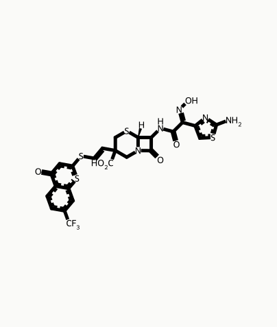 Nc1nc(C(=NO)C(=O)NC2C(=O)N3CC(C=CSc4cc(=O)c5ccc(C(F)(F)F)cc5s4)(C(=O)O)CS[C@H]23)cs1